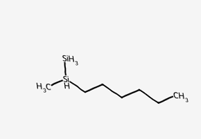 CCCCCC[SiH](C)[SiH3]